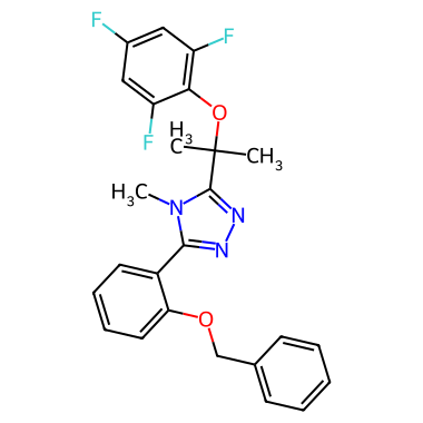 Cn1c(-c2ccccc2OCc2ccccc2)nnc1C(C)(C)Oc1c(F)cc(F)cc1F